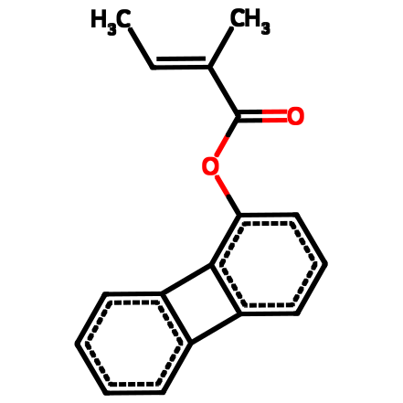 CC=C(C)C(=O)Oc1cccc2c1-c1ccccc1-2